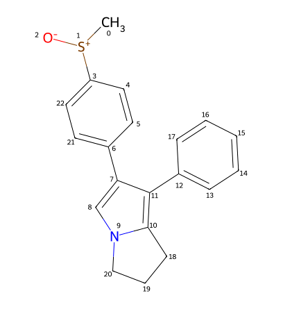 C[S+]([O-])c1ccc(-c2cn3c(c2-c2ccccc2)CCC3)cc1